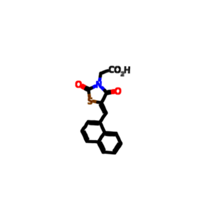 O=C(O)CN1C(=O)SC(=Cc2cccc3ccccc23)C1=O